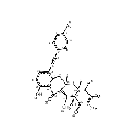 CC(=O)C1=C(O)C(C(C)C)[C@@]2(C)C[C@@]3(C)Cc4c(C#Cc5ccc(C(C)=O)cc5)ccc(O)c4C(=O)C3=C(O)[C@@]2(O)C1=O